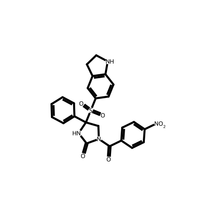 O=C1NC(c2ccccc2)(S(=O)(=O)c2ccc3c(c2)CCN3)CN1C(=O)c1ccc([N+](=O)[O-])cc1